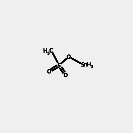 CS(=O)(=O)[O][SnH3]